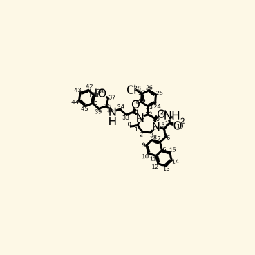 CC1CCN(C(Cc2cccc3ccccc23)C(N)=O)C(=O)C(c2cccc(Cl)c2)N1C(=O)CCNC(CO)Cc1ccccc1